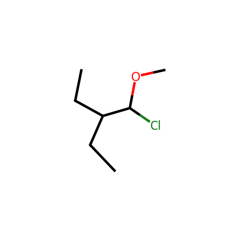 CCC(CC)C(Cl)OC